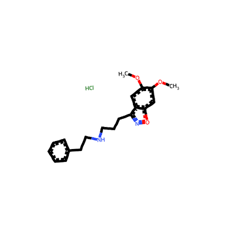 COc1cc2onc(CCCNCCc3ccccc3)c2cc1OC.Cl